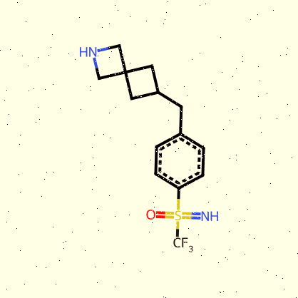 N=S(=O)(c1ccc(CC2CC3(CNC3)C2)cc1)C(F)(F)F